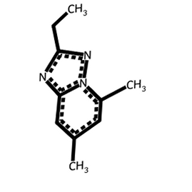 CCc1nc2cc(C)cc(C)n2n1